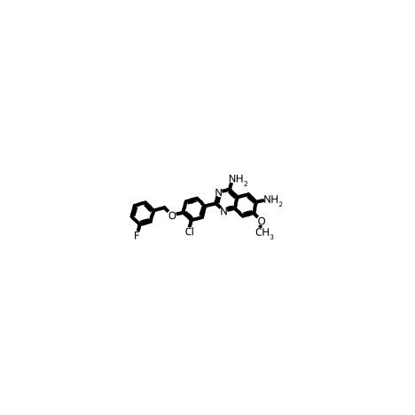 COc1cc2nc(-c3ccc(OCc4cccc(F)c4)c(Cl)c3)nc(N)c2cc1N